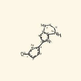 Clc1ccc(-c2cn3c(n2)NCCN3)s1